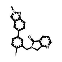 Cn1cc2cc(-c3ccc(F)c(CN4Cc5ncccc5C4=O)c3)ccc2n1